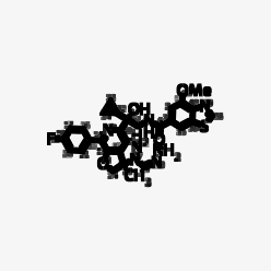 COc1cc(C(=O)NC[C@](O)(c2cc3c(c(-c4ccc(F)cc4)n2)OC[C@]3(C)N(N)/C=N\N)C2CC2)cc2scnc12